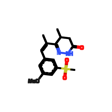 COc1cc(C=C(C)C2=NNC(=O)CC2C)cc(S(C)(=O)=O)c1